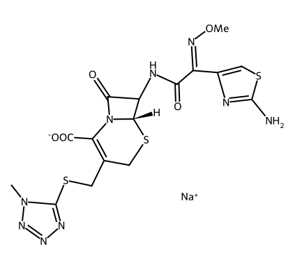 CON=C(C(=O)NC1C(=O)N2C(C(=O)[O-])=C(CSc3nnnn3C)CS[C@@H]12)c1csc(N)n1.[Na+]